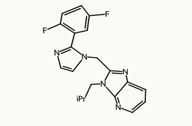 CC(C)Cn1c(Cn2ccnc2-c2cc(F)ccc2F)nc2cccnc21